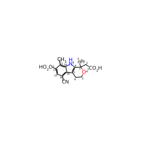 CCCC1(CC(=O)O)OCCc2c1[nH]c1c(C)c(C(=O)O)cc(C#N)c21